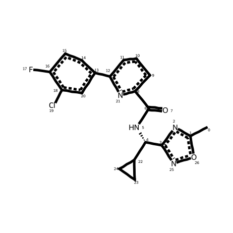 Cc1nc([C@@H](NC(=O)c2cccc(-c3ccc(F)c(Cl)c3)n2)C2CC2)no1